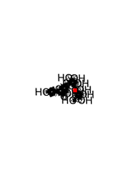 O=c1cc(-c2ccc(O)cc2)oc2cc(O[C@@H]3O[C@H](CO[C@@H]4O[C@H](CO)[C@@H](O)[C@H](O)[C@H]4O)[C@@H](O)[C@H](O)[C@H]3O)cc(O)c12